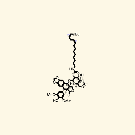 CCCC/C=C\C/C=C\CCCCCCCCNC(=S)OC1[C@H](O[C@@H]2c3cc4c(cc3[C@@H](c3cc(OC)c(O)c(OC)c3)[C@H]3C(=O)OC[C@@H]32)OCO4)O[C@@H]2CO[C@@H](C)O[C@H]2[C@@H]1O